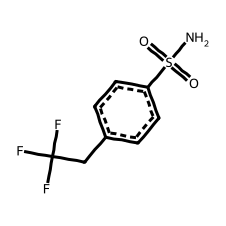 NS(=O)(=O)c1ccc(CC(F)(F)F)cc1